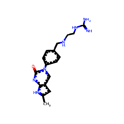 Cc1cc2cn(-c3ccc(CNCCNC(=N)N)cc3)c(=O)nc2[nH]1